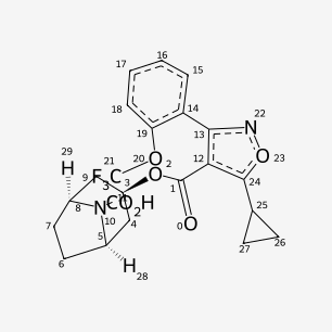 O=C(O[C@H]1C[C@H]2CC[C@@H](C1)N2C(=O)O)c1c(-c2ccccc2OC(F)(F)F)noc1C1CC1